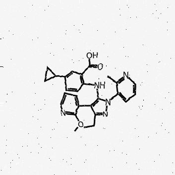 CCc1nn(-c2cccnc2C)c(Nc2ccc(C3CC3)cc2C(=O)O)c1-c1cccnc1OC